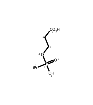 CC(C)P(=O)(O)OCCC(=O)O